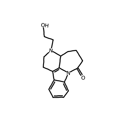 O=C1CCCC2c3c(c4ccccc4n31)CCN2CCO